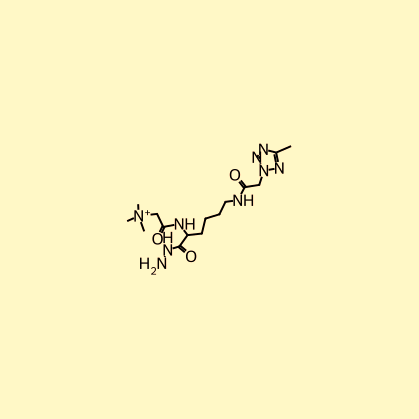 Cc1nnn(CC(=O)NCCCCC(NC(=O)C[N+](C)(C)C)C(=O)NN)n1